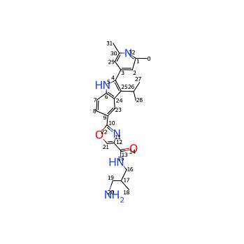 Cc1cc(-c2[nH]c3ccc(-c4nc(C(=O)NCC(C)CN)co4)cc3c2C(C)C)cc(C)n1